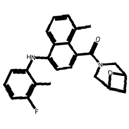 Cc1c(F)cccc1Nc1ccc(C(=O)N2CC3CC(C2)O3)c2c(C)cccc12